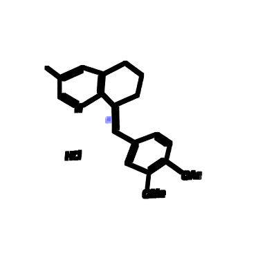 COc1cc(/C=C2\CCCc3cc(C)cnc32)ccc1OC(C)=O.Cl